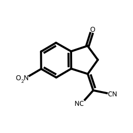 N#CC(C#N)=C1CC(=O)c2ccc([N+](=O)[O-])cc21